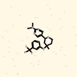 CN(C)c1ncc(C2CC(C)(Sc3cccc(C(F)(F)F)c3)CCO2)cn1